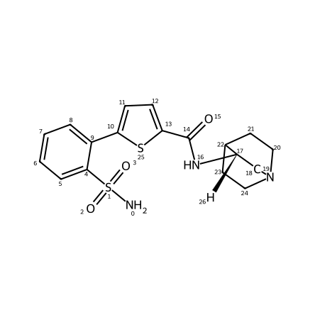 NS(=O)(=O)c1ccccc1-c1ccc(C(=O)N[C@H]2CN3CCC2CC3)s1